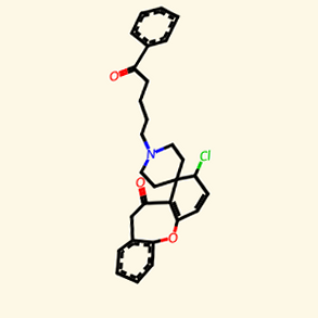 O=C1Cc2ccccc2OC2=C1C1(CCN(CCCCC(=O)c3ccccc3)CC1)C(Cl)C=C2